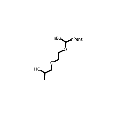 CCCCCC(CCCC)OCCOCC(C)O